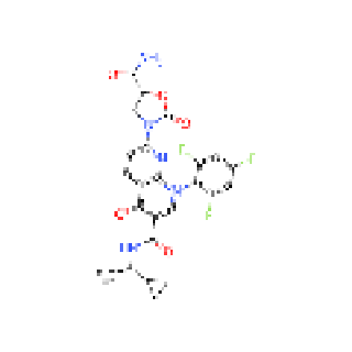 NC(=O)[C@H]1CN(c2ccc3c(=O)c(C(=O)N[C@@H](C4CC4)C(F)(F)F)cn(-c4c(F)cc(F)cc4F)c3n2)C(=O)O1